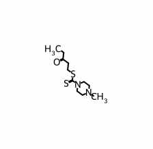 CCC(=O)CCSC(=S)N1CCN(C)CC1